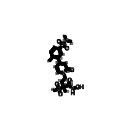 Cc1ccc(S(=O)(=O)N(C)C)cc1-c1ccn(CCC(C)(C(=O)NO)S(C)(=O)=O)c(=O)c1